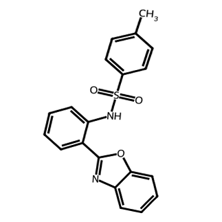 Cc1ccc(S(=O)(=O)Nc2ccccc2-c2nc3ccccc3o2)cc1